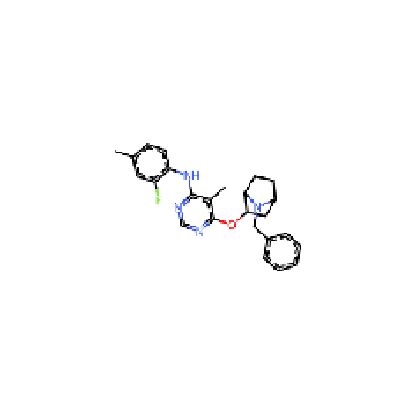 Cc1ccc(Nc2ncnc(OC3CC4CCC3N4Cc3ccccc3)c2C)c(F)c1